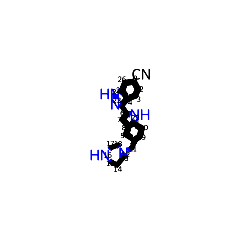 N#Cc1ccc2c(-c3cc4cc(CN5CCCNCC5)ccc4[nH]3)n[nH]c2c1